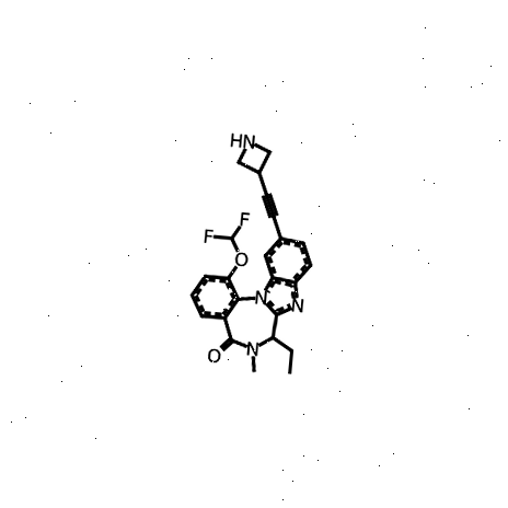 CCC1c2nc3ccc(C#CC4CNC4)cc3n2-c2c(OC(F)F)cccc2C(=O)N1C